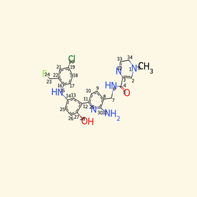 CN1C=C(C(=O)NCc2ccc(-c3cc(Nc4ccc(Cl)cc4CF)ccc3O)nc2N)N=CC1